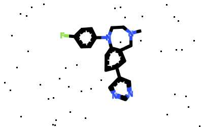 CN1CCN(c2ccc(F)cc2)c2ccc(-c3cncnc3)cc2C1